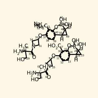 C[C@@](N)(CO)C(=O)N1CC(Oc2ccc3c(c2C(=O)O)O[B-](O)(O)[C@@H]2C[C@H]32)C1.C[C@@](N)(CO)C(=O)N1CC(Oc2ccc3c(c2C(=O)O)O[B-](O)(O)[C@@H]2C[C@H]32)C1.[Na+].[Na+]